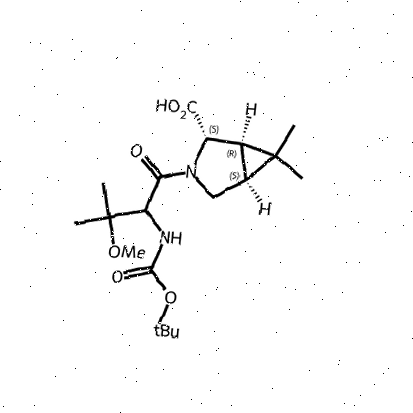 COC(C)(C)C(NC(=O)OC(C)(C)C)C(=O)N1C[C@H]2[C@@H]([C@H]1C(=O)O)C2(C)C